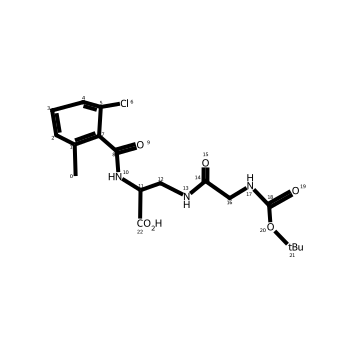 Cc1cccc(Cl)c1C(=O)NC(CNC(=O)CNC(=O)OC(C)(C)C)C(=O)O